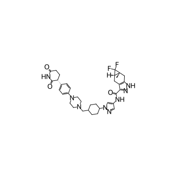 C[C@@]12Cc3[nH]nc(C(=O)Nc4cnn(C5CCC(CN6CCN(c7ccc([C@H]8CCC(=O)NC8=O)cc7)CC6)CC5)c4)c3C[C@@H]1C2(F)F